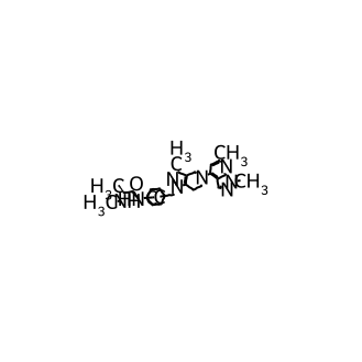 CN[C@@H](C)C(=O)NC12CCC(Cn3nc(C)c4c3CCN(c3cc(C)nc5c3cnn5C)C4)(CC1)CC2